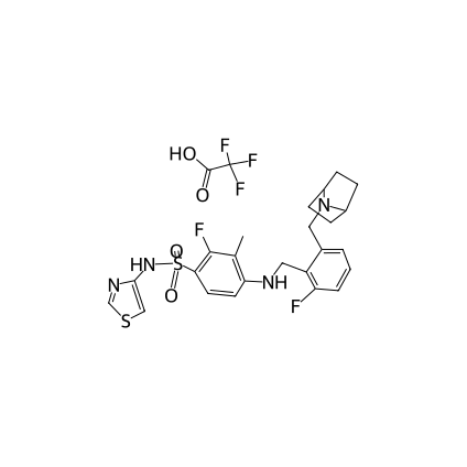 Cc1c(NCc2c(F)cccc2CN2C3CCC2CC3)ccc(S(=O)(=O)Nc2cscn2)c1F.O=C(O)C(F)(F)F